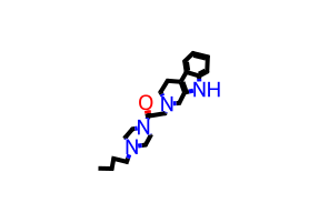 CCCCN1CCN(C(=O)CN2CCc3c([nH]c4ccccc34)C2)CC1